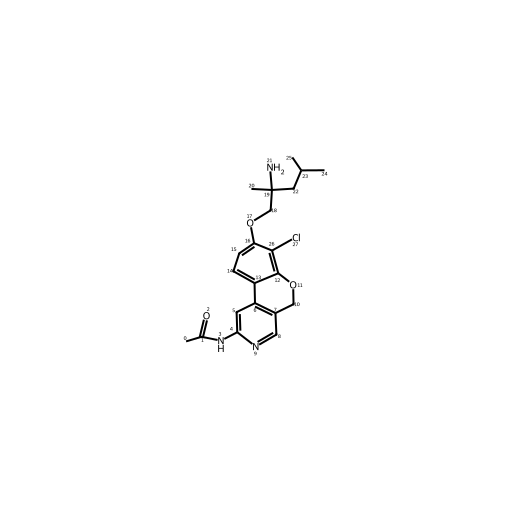 CC(=O)Nc1cc2c(cn1)COc1c-2ccc(OCC(C)(N)CC(C)C)c1Cl